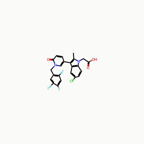 Cc1c(-c2ccc(=O)n(Cc3cc(F)c(F)cc3F)c2)c2cc(Cl)ccc2n1CC(=O)O